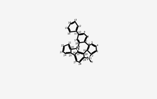 Cn1c2cccc3c4ccc(-c5ccccc5)cc4n4c5ccccc5c5ccc1c(c32)c54